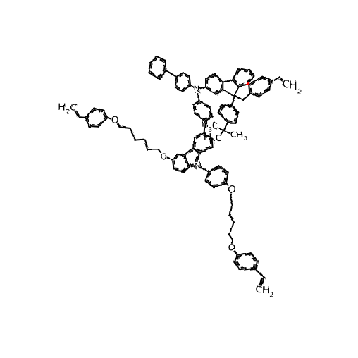 C=Cc1ccc(CC2(c3ccc(C(C)(C)C)cc3)c3ccccc3-c3ccc(N(c4ccc(-c5ccccc5)cc4)c4ccc(-c5ccc6c(c5)c5cc(OCCCCCCOc7ccc(C=C)cc7)ccc5n6-c5ccc(OCCCCCCOc6ccc(C=C)cc6)cc5)cc4)cc32)cc1